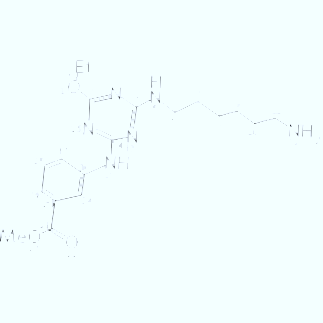 CCOc1nc(NCCCCCCN)nc(Nc2cccc(C(=O)OC)c2)n1